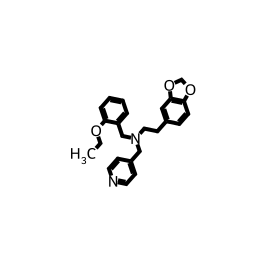 CCOc1ccccc1CN(CCc1ccc2c(c1)OCO2)Cc1ccncc1